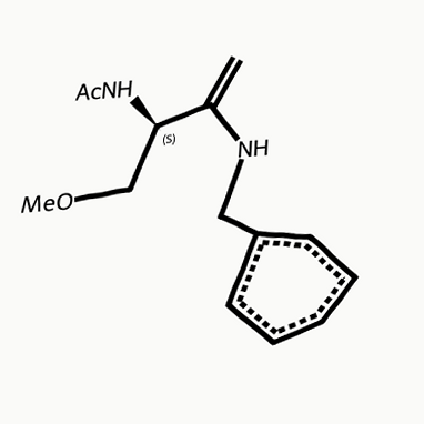 C=C(NCc1ccccc1)[C@@H](COC)NC(C)=O